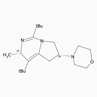 C[C@@H]1N=C(C(C)(C)C)N2C[C@H](N3CCOCC3)CC2=C1C(C)(C)C